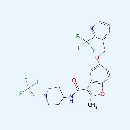 Cc1oc2ccc(OCc3cccnc3C(F)(F)F)cc2c1C(=O)NC1CCN(CC(F)(F)F)CC1